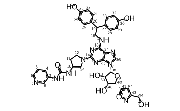 O=C(Nc1cccnc1)NC1CCN(c2nc(NCC(c3ccc(O)cc3)c3ccc(O)cc3)c3ncn([C@@H]4O[C@H](c5cc(CO)no5)[C@@H](O)[C@H]4O)c3n2)C1